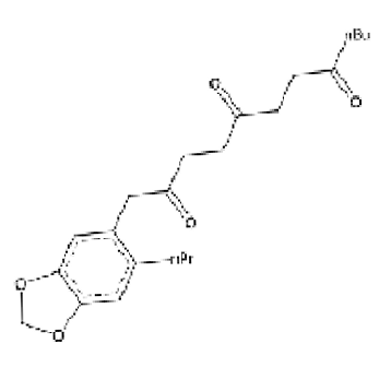 CCCCC(=O)CCC(=O)CCC(=O)Cc1cc2c(cc1CCC)OCO2